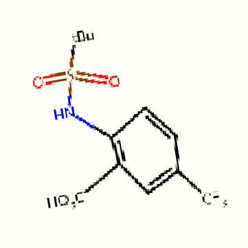 CC(C)(C)S(=O)(=O)Nc1ccc(C(F)(F)F)cc1C(=O)O